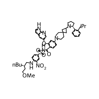 CCCC[C@H](CCOC)CNc1ccc(S(=O)(=O)NC(=O)c2ccc(N3CCC4(CC3)CC(N3CCC[C@H]3c3ccccc3C(C)C)C4)cc2Oc2cnc3[nH]ccc3c2)cc1[N+](=O)[O-]